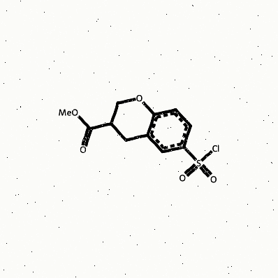 COC(=O)C1COc2ccc(S(=O)(=O)Cl)cc2C1